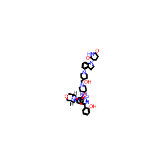 Nc1nnc(-c2ccccc2O)cc1N1C[C@H]2COC[C@@H](C1)N2c1cccc(OC2CCN(CC3(O)CCN(c4cccc5c4CCN5[C@H]4CCC(=O)NC4=O)CC3)CC2)c1